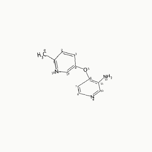 Cc1ccc(Oc2ccncc2N)cn1